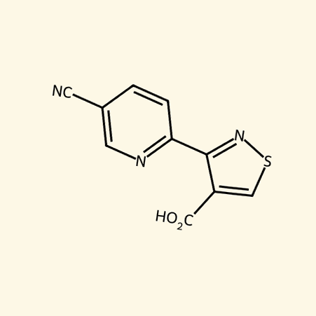 N#Cc1ccc(-c2nscc2C(=O)O)nc1